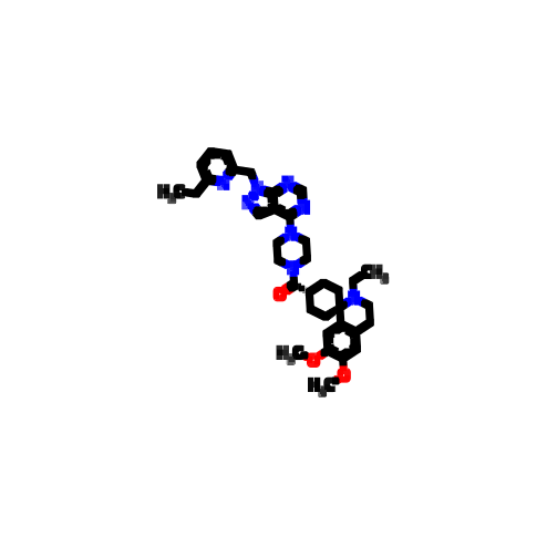 CCc1cccc(Cn2ncc3c(N4CCN(C(=O)[C@H]5CC[C@]6(CC5)c5cc(OC)c(OC)cc5CCN6CC)CC4)ncnc32)n1